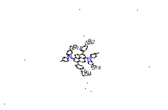 Cc1ccc(N(c2ccc(C(C)(C)C)cc2)c2cc(-c3ccc(C(C)(C)C)cc3)c3ccc4c(N(c5ccc(C)cc5)c5ccc(C(C)(C)C)cc5)cc(-c5ccc(C(C)(C)C)cc5)c5ccc2c3c54)cc1